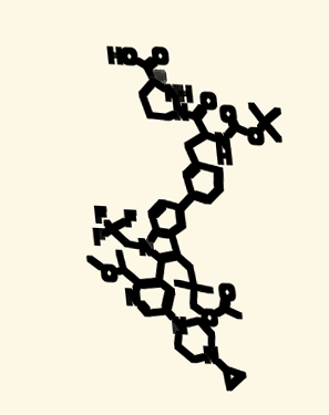 COC(C)c1ncc(N2CCN(C3CC3)CC2)cc1-c1c(CC(C)(C)COC(C)=O)c2cc(-c3cccc(CC(NC(=O)OC(C)(C)C)C(=O)N4CCC[C@@H](C(=O)O)N4)c3)ccc2n1CC(F)(F)F